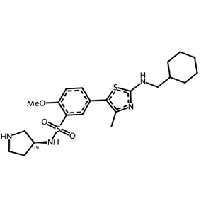 COc1ccc(-c2sc(NCC3CCCCC3)nc2C)cc1S(=O)(=O)N[C@H]1CCNC1